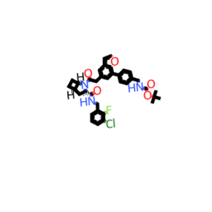 CC(C)(C)OC(=O)NCc1ccc(-c2cc(CC(=O)N3[C@@H]4CC[C@@H]4C[C@H]3C(=O)NCc3cccc(Cl)c3F)cc3ccoc23)cc1